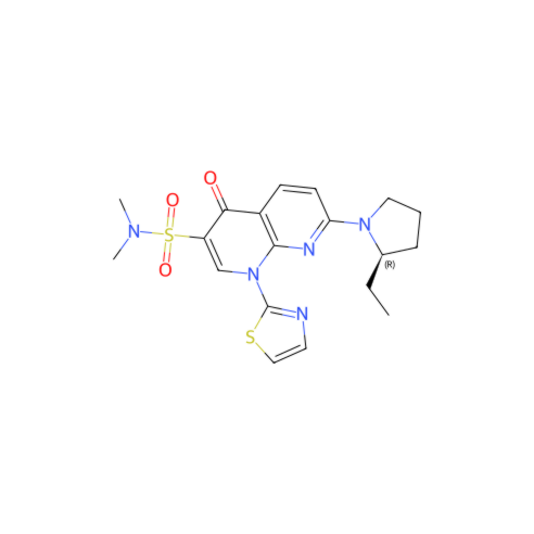 CC[C@@H]1CCCN1c1ccc2c(=O)c(S(=O)(=O)N(C)C)cn(-c3nccs3)c2n1